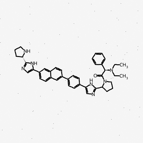 CCN(CC)[C@@H](C(=O)N1CCCC1c1ncc(-c2ccc(-c3ccc4cc(-c5cnc([C@@H]6CCCN6)[nH]5)ccc4c3)cc2)[nH]1)c1ccccc1